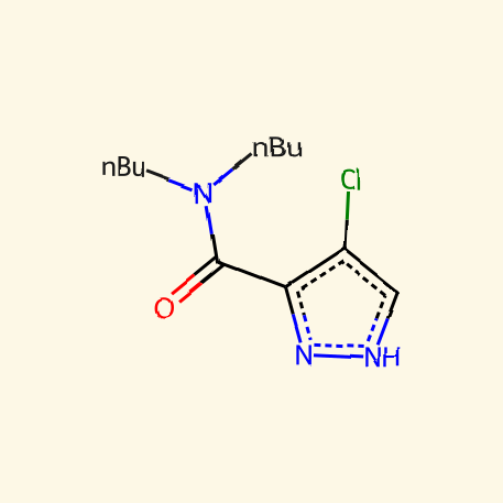 CCCCN(CCCC)C(=O)c1n[nH]cc1Cl